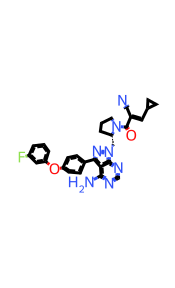 N#CC(=CC1CC1)C(=O)N1CCC[C@H]1Cn1nc(-c2ccc(Oc3cccc(F)c3)cc2)c2c(N)ncnc21